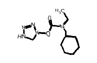 CCN(C(=O)ON1CNN=N1)C1CCCCC1